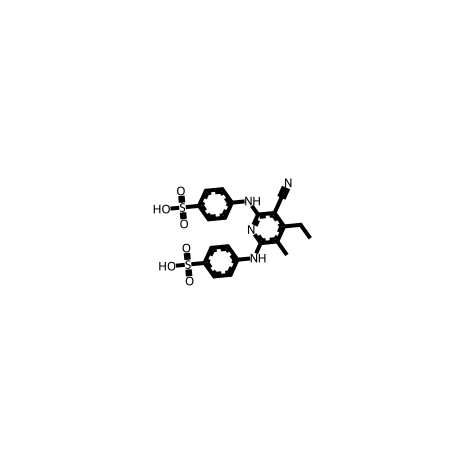 CCc1c(C)c(Nc2ccc(S(=O)(=O)O)cc2)nc(Nc2ccc(S(=O)(=O)O)cc2)c1C#N